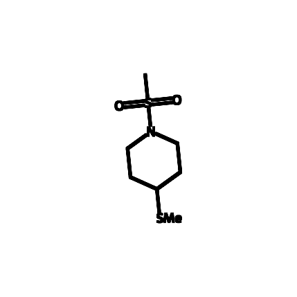 CSC1CCN(S(C)(=O)=O)CC1